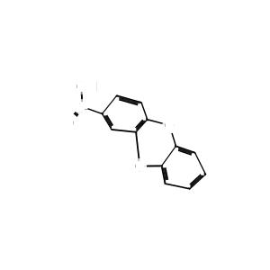 O=S(O)c1ccc2c(c1)Oc1ccccc1O2